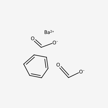 O=C[O-].O=C[O-].[Ba+2].c1ccccc1